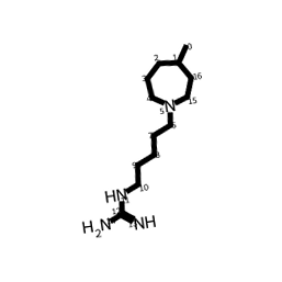 CC1CCCN(CCCCCNC(=N)N)CC1